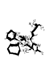 CC[C@@H](O[Si](c1ccccc1)(c1ccccc1)C(C)(C)C)[C@@]1(C)OC(=O)N[C@@H]1C(=O)CC=C(C)C